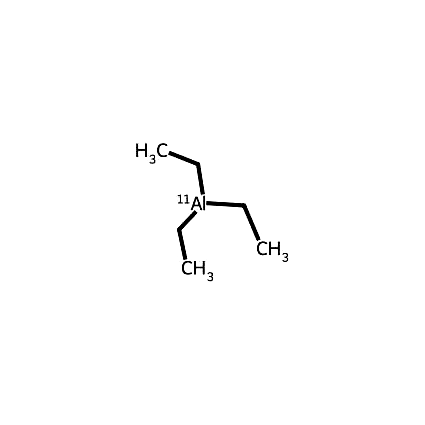 C[CH2][11Al]([CH2]C)[CH2]C